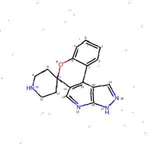 c1ccc2c(c1)OC1(CCNCC1)c1cnc3[nH]ncc3c1-2